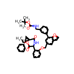 CCOC(=O)C(NC(=O)C1=C[C@H]1c1ccccc1)c1ccccc1OCc1cc(-c2cccc(CNC(=O)OC(C)(C)C)c2)c2occc2c1